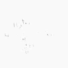 CCC(C)(CC)C(=O)O[C@H]1CCC(O)=C2C=C(O)[C@@H](C)[C@@H](CCCCCCC(=O)[O-])[C@H]21.[Na+]